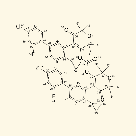 CC1(C)OC(C)(C)C(OC(=O)OC2=C(c3cc(-c4ccc(Cl)cc4F)ccc3C3CC3)C(=O)C(C)(C)OC2(C)C)=C(c2cc(-c3ccc(Cl)cc3F)ccc2C2CC2)C1=O